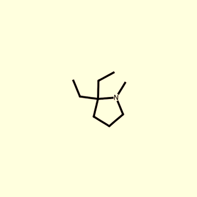 CCC1(CC)CCCN1C